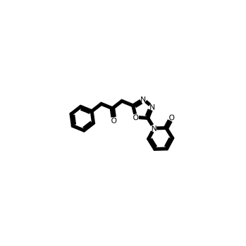 O=C(Cc1ccccc1)Cc1nnc(-n2ccccc2=O)o1